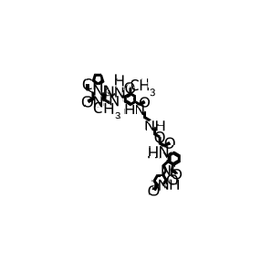 CC[C@@H]1C(=O)N(C)c2cnc(Nc3ccc(C(=O)NCCCNCCOCC(=O)Nc4cccc5c4CN(C4CCC(=O)NC4=O)C5=O)cc3OC)nc2N1C1CCCC1